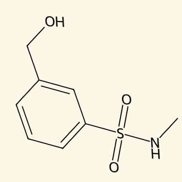 CNS(=O)(=O)c1cccc(CO)c1